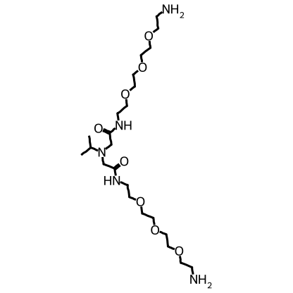 CC(C)N(CC(=O)NCCOCCOCCOCCN)CC(=O)NCCOCCOCCOCCN